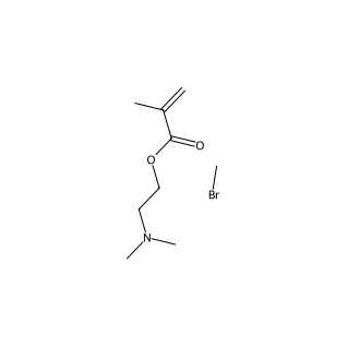 C=C(C)C(=O)OCCN(C)C.CBr